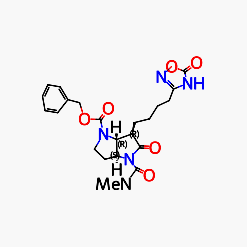 CNC(=O)N1C(=O)[C@H](CCCCc2noc(=O)[nH]2)[C@@H]2[C@@H]1CCN2C(=O)OCc1ccccc1